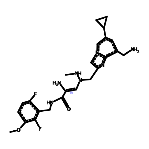 CNN(/C=C(\N)C(=O)NCc1c(F)ccc(OC)c1F)Cc1cn2cc(C3CC3)cc(CN)c2n1